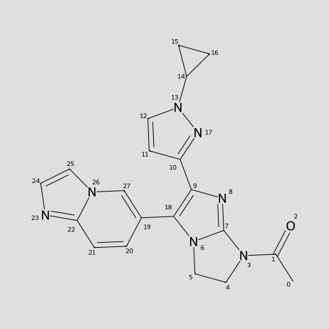 CC(=O)N1CCn2c1nc(-c1ccn(C3CC3)n1)c2-c1ccc2nccn2c1